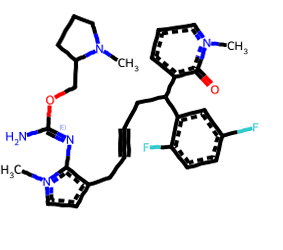 CN1CCCC1CO/C(N)=N/c1c(CC#CCC(c2cc(F)ccc2F)c2cccn(C)c2=O)ccn1C